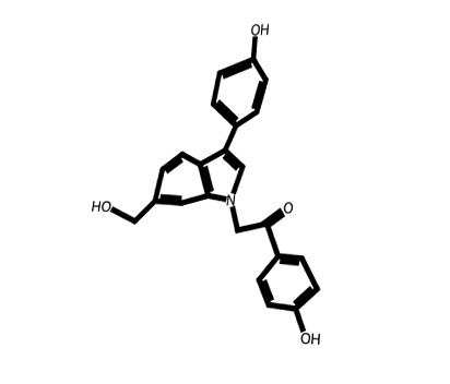 O=C(Cn1cc(-c2ccc(O)cc2)c2ccc(CO)cc21)c1ccc(O)cc1